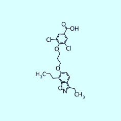 CCCc1c(OCCCOc2c(Cl)cc(C(=O)O)cc2Cl)ccc2c(CC)noc12